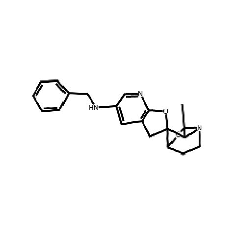 CC1N2CCC(CC2)C12Cc1cc(NCc3ccccc3)cnc1O2